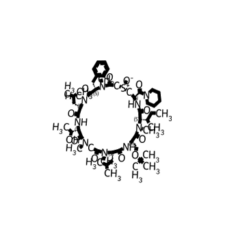 CCC(C)[C@H]1C(=O)N[C@H](C(=O)N2CCCCC2)C[S+]([O-])CC(=O)N(C)[C@@H](Cc2ccccc2)C(=O)N(C)[C@@H](CC(C)C)C(=O)N[C@@H](C(C)O)C(=O)N(C)CC(=O)N(C)[C@@H](CC(C)C)C(=O)N[C@@H](COC(C)(C)C)C(=O)N1C